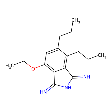 CCCc1cc(OCC)c2c(c1CCC)C(=N)NC2=N